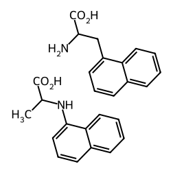 CC(Nc1cccc2ccccc12)C(=O)O.NC(Cc1cccc2ccccc12)C(=O)O